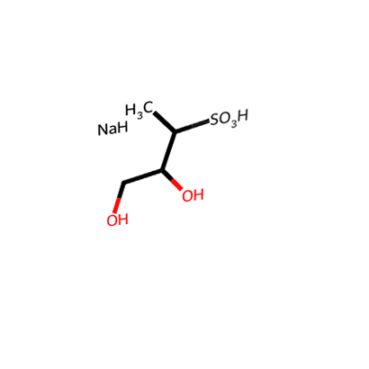 CC(C(O)CO)S(=O)(=O)O.[NaH]